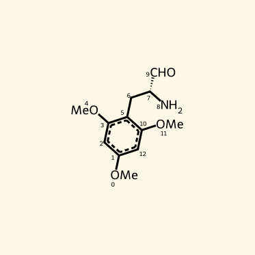 COc1cc(OC)c(C[C@@H](N)C=O)c(OC)c1